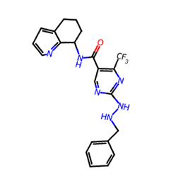 O=C(NC1CCCc2cccnc21)c1cnc(NNCc2ccccc2)nc1C(F)(F)F